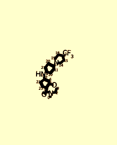 CN1CCOc2cc(Nc3ccc(N4CCC(C(F)(F)F)CC4)cc3)ccc2C1=O